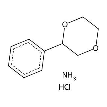 Cl.N.c1ccc(C2COCCO2)cc1